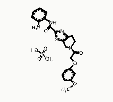 COc1cccc(OCC(=O)N2CCc3nc(C(=O)Nc4ccccc4N)sc3C2)c1.CS(=O)(=O)O